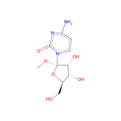 CO[C@@]1(n2ccc(N)nc2=O)O[C@H](CO)[C@@H](O)[C@H]1O